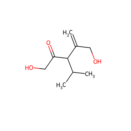 C=C(CO)C(C(=O)CO)C(C)C